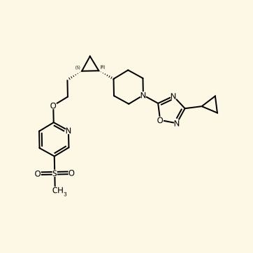 CS(=O)(=O)c1ccc(OCC[C@@H]2C[C@@H]2C2CCN(c3nc(C4CC4)no3)CC2)nc1